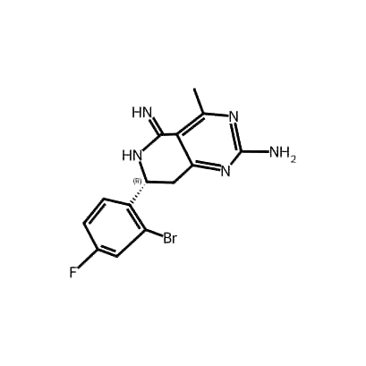 Cc1nc(N)nc2c1C(=N)N[C@@H](c1ccc(F)cc1Br)C2